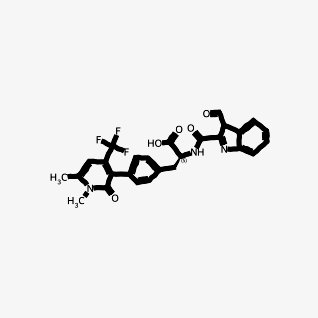 Cc1cc(C(F)(F)F)c(-c2ccc(C[C@H](NC(=O)C3=Nc4ccccc4C3C=O)C(=O)O)cc2)c(=O)n1C